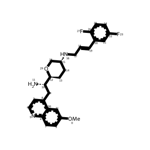 COc1ccc2nccc(C[C@H](N)[C@@H]3CC[C@@H](NC/C=C/c4cc(F)ccc4F)CO3)c2c1